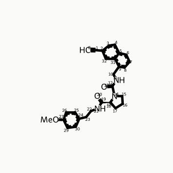 C#Cc1ccc2cccc(CNC(=O)N3CCC[C@H]3C(=O)NCCc3ccc(OC)cc3)c2c1